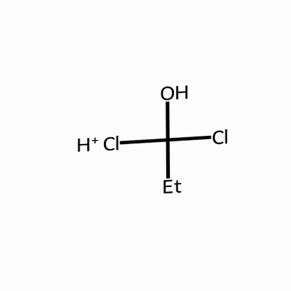 CCC(O)(Cl)Cl.[H+]